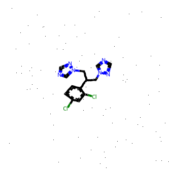 Clc1ccc(C(Cn2cncn2)Cn2cncn2)c(Cl)c1